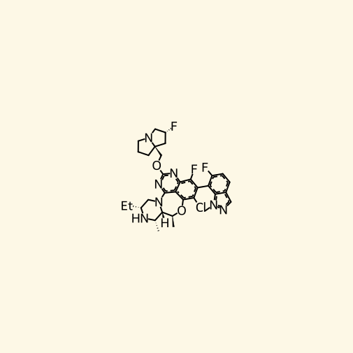 CC[C@@H]1CN2c3nc(OC[C@@]45CCCN4C[C@H](F)C5)nc4c(F)c(-c5c(F)ccc6cnn(C)c56)c(Cl)c(c34)O[C@@H](C)[C@@H]2[C@H](C)N1